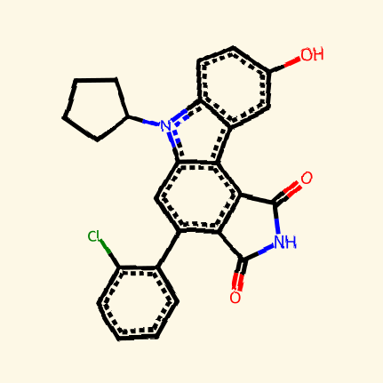 O=C1NC(=O)c2c1c(-c1ccccc1Cl)cc1c2c2cc(O)ccc2n1C1CCCC1